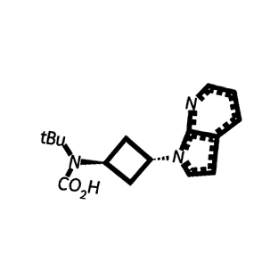 CC(C)(C)N(C(=O)O)[C@H]1C[C@H](n2ccc3cccnc32)C1